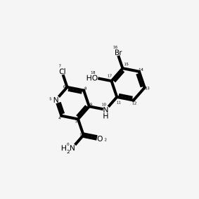 NC(=O)c1cnc(Cl)cc1Nc1cccc(Br)c1O